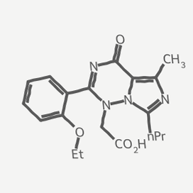 CCCc1nc(C)c2c(=O)nc(-c3ccccc3OCC)n(CC(=O)O)n12